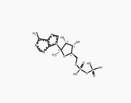 C[C@@]1(n2cnc3c(N)ncnc32)O[C@H](COP(=O)(O)OP(=O)(O)O)[C@@H](O)[C@H]1S